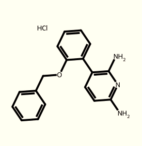 Cl.Nc1ccc(-c2ccccc2OCc2ccccc2)c(N)n1